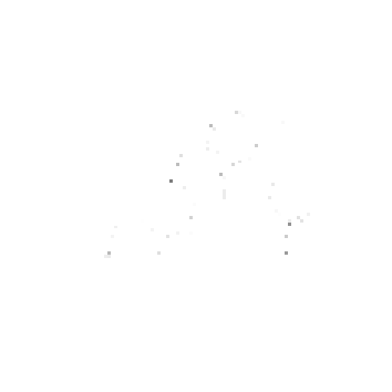 Cc1ccc2cnc(NC3CCC(O)CC3)nc2c1OCC(=O)N(C)C